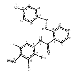 COc1c(F)cc(NC(=O)c2cccnc2SCc2cc[n+]([O-])cc2)c(F)c1F